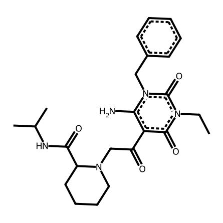 CCn1c(=O)c(C(=O)CN2CCCCC2C(=O)NC(C)C)c(N)n(Cc2ccccc2)c1=O